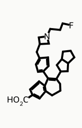 O=C(O)c1ccc2c(c1)CCCC(C1CC3CCCC3C1)=C2c1ccc(CC2CN(CCCF)C2)cc1